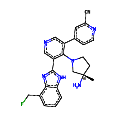 C[C@]1(N)CCN(c2c(-c3ccnc(C#N)c3)cncc2-c2nc3c(CF)cccc3[nH]2)C1